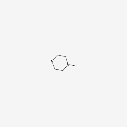 CN1[CH]C[N]CC1